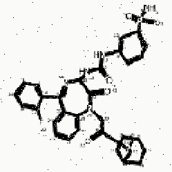 NS(=O)(=O)c1cccc(NC(=O)NC2N=C(c3ccccc3F)c3ccccc3N(CC(=O)N3CC4CCC(CC4)C3)C2=O)c1